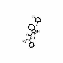 COC[C@H](NC(=O)c1n[nH]c2c1CCCC[C@@H]2Cc1cccc(Cl)c1)c1ccccc1